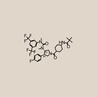 CN(C(=O)N(C)[C@@H]1CN(C(=O)C2CCC(NC(=O)C(C)(C)C)CC2)C[C@H]1c1ccc(F)cc1)c1cc(C(F)(F)F)cc(C(F)(F)F)c1